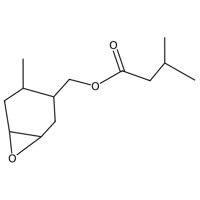 CC(C)CC(=O)OCC1CC2OC2CC1C